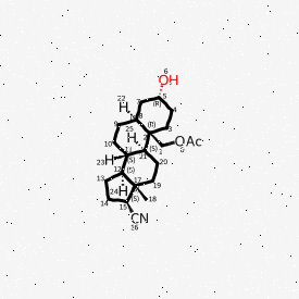 CC(=O)OC[C@]12CC[C@@H](O)C[C@@H]1CC[C@H]1[C@@H]3CC[C@H](C#N)[C@@]3(C)CC[C@@H]12